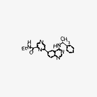 CCNC(=O)c1cncc(-c2ccc3ncnc(N[C@H](C)c4ccccc4)c3c2)n1